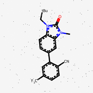 Cn1c(=O)n(CC(C)(C)C)c2ccc(-c3cc(C(F)(F)F)ccc3C#N)cc21